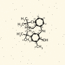 Cc1cc(C(C)(C)C)cc(Pc2ccccc2CNC(C)(C)C)c1O